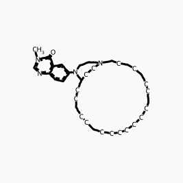 Cn1cnc2ccc(N3CCN4CCCCCCCCCCCCCCCCCCCCCC3CC4)cc2c1=O